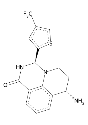 N[C@H]1CCN2c3c(cccc31)C(=O)N[C@H]2c1cc(C(F)(F)F)cs1